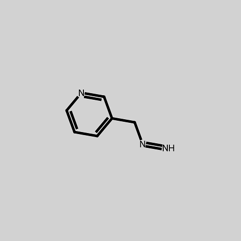 N=NCc1cccnc1